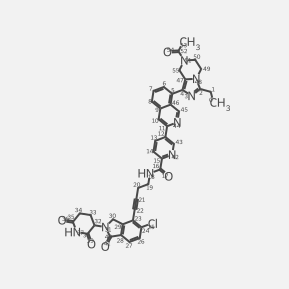 CCc1nc(-c2cccc3cc(-c4ccc(C(=O)NCCC#Cc5c(Cl)ccc6c5CN(C5CCC(=O)NC5=O)C6=O)nc4)ncc23)c2n1CCN(C(C)=O)C2